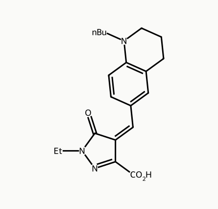 CCCCN1CCCc2cc(/C=C3\C(=O)N(CC)N=C3C(=O)O)ccc21